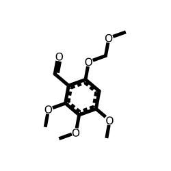 COCOc1cc(OC)c(OC)c(OC)c1C=O